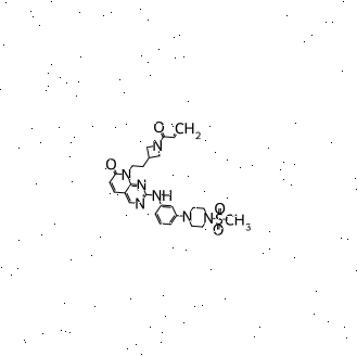 C=CC(=O)N1CC(CCn2c(=O)ccc3cnc(Nc4cccc(N5CCN(S(C)(=O)=O)CC5)c4)nc32)C1